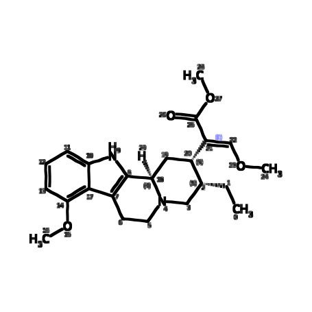 CC[C@@H]1CN2CCc3c([nH]c4cccc(OC)c34)[C@H]2C[C@@H]1/C(=C\OC)C(=O)OC